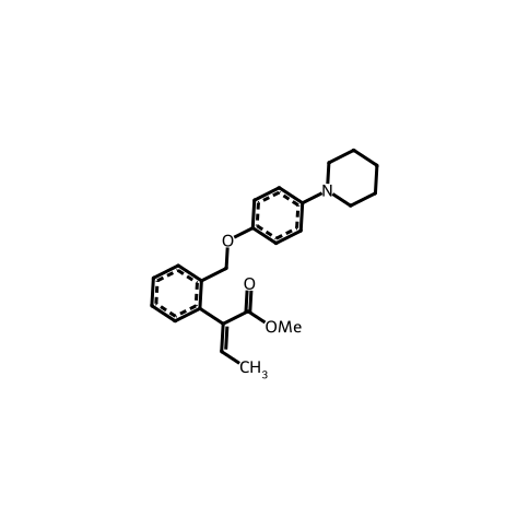 CC=C(C(=O)OC)c1ccccc1COc1ccc(N2CCCCC2)cc1